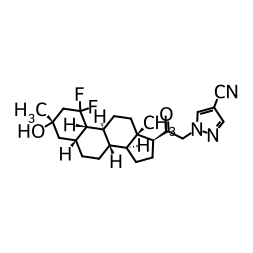 C[C@]1(O)C[C@H]2CC[C@@H]3[C@H](CC[C@]4(C)[C@@H](C(=O)Cn5cc(C#N)cn5)CC[C@@H]34)[C@H]2C(F)(F)C1